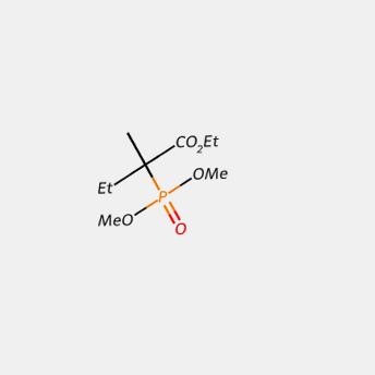 CCOC(=O)C(C)(CC)P(=O)(OC)OC